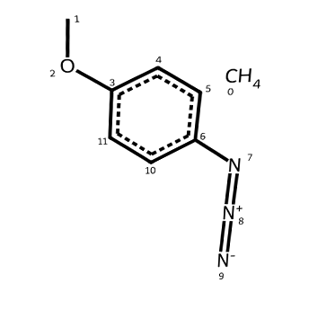 C.COc1ccc(N=[N+]=[N-])cc1